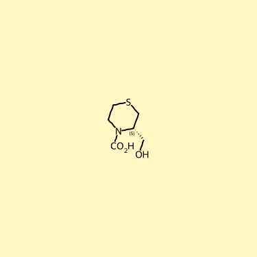 O=C(O)N1CCSC[C@@H]1CO